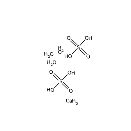 O.O.O.O=S(=O)(O)O.O=S(=O)(O)O.[CaH2]